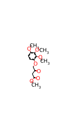 COC(=O)CC(=O)COc1ccc(OC)c(OC)c1OC